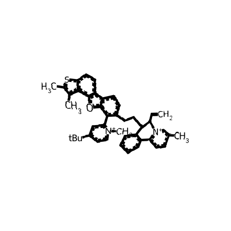 C=CC1C(CCc2ccc3c(oc4c3ccc3sc(C)c(C)c34)c2-c2cc(C(C)(C)C)cc[n+]2C)c2ccccc2-c2ccc(C)c[n+]21